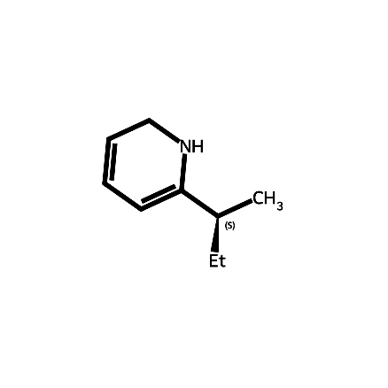 CC[C@H](C)C1=CC=CCN1